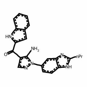 CCCc1nc2cc(-n3ncc(C(=O)c4cc5ccccc5[nH]4)c3N)ccc2[nH]1